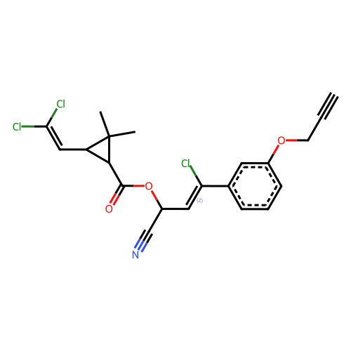 C#CCOc1cccc(/C(Cl)=C/C(C#N)OC(=O)C2C(C=C(Cl)Cl)C2(C)C)c1